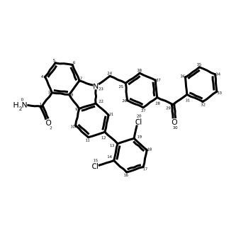 NC(=O)c1cccc2c1c1[c]cc(-c3c(Cl)cccc3Cl)cc1n2Cc1ccc(C(=O)c2ccccc2)cc1